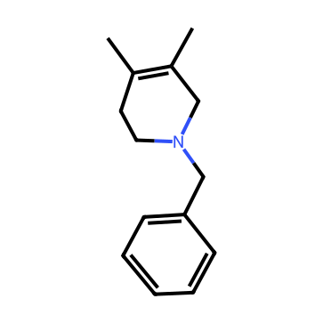 CC1=C(C)CN(Cc2ccccc2)CC1